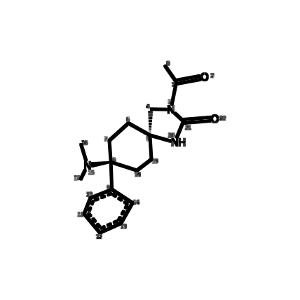 CC(=O)N1C[C@]2(CC[C@](c3ccccc3)(N(C)C)CC2)NC1=O